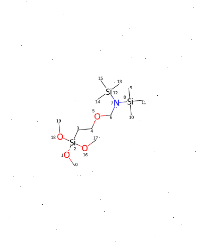 CO[Si](CCOCN([Si](C)(C)C)[Si](C)(C)C)(OC)OC